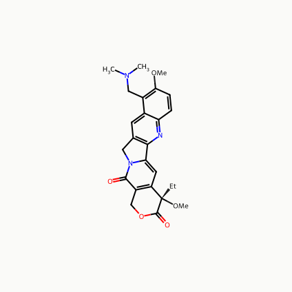 CC[C@@]1(OC)C(=O)OCc2c1cc1n(c2=O)Cc2cc3c(CN(C)C)c(OC)ccc3nc2-1